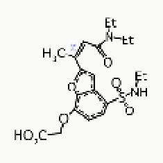 CCNS(=O)(=O)c1ccc(OCC(=O)O)c2oc(/C(C)=C\C(=O)N(CC)CC)cc12